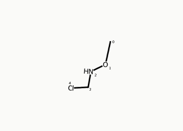 CONCCl